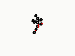 c1ccc(-c2ccc(-c3ccc(N(c4ccccc4)c4cc(N(c5ccccc5)c5ccc(-c6ccccc6)cc5)c5oc6c7ccccc7ccc6c5c4)cc3)cc2)cc1